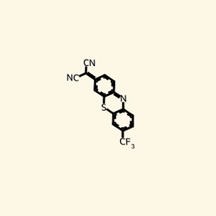 N#CC(C#N)=c1ccc2c(c1)Sc1cc(C(F)(F)F)ccc1N=2